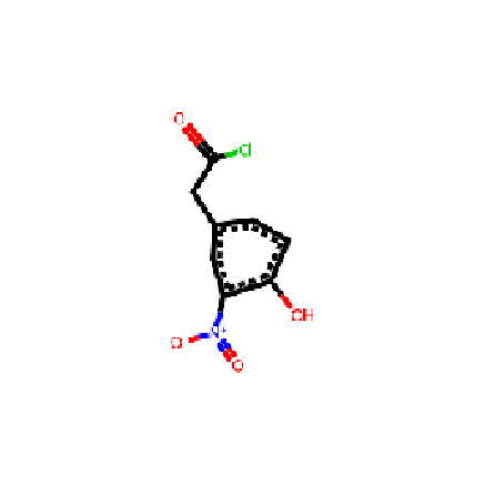 O=C(Cl)Cc1ccc(O)c([N+](=O)[O-])c1